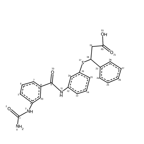 NC(=O)Nc1cccc(C(=O)Nc2cccc(SC(CC(=O)O)c3ccccc3)c2)c1